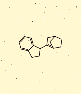 c1ccc2c(c1)CCC2C1=C2CCC(C2)C1